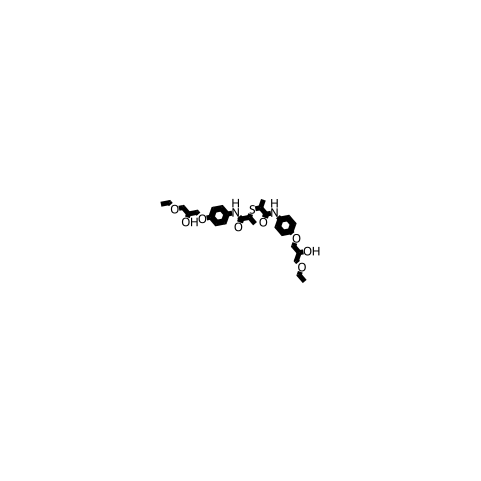 CCOCC(O)COc1ccc(NC(=O)C(C)SC(C)C(=O)Nc2ccc(OCC(O)COCC)cc2)cc1